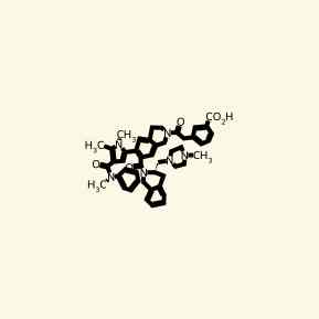 Cc1c(C(=O)N(C)c2ccccc2)cc(-c2cc3c(cc2C(=O)N2Cc4ccccc4C[C@H]2CN2CCN(C)CC2)CN(C(=O)Cc2cccc(C(=O)O)c2)CC3)n1C